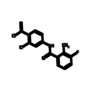 Cc1c(F)cccc1C(=O)Nc1ccc(C(=O)Cl)c(Cl)c1